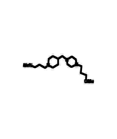 CNCCCN1CCC(CN2CCN(CCCOC)CC2)CC1